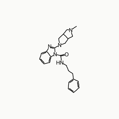 CN1CC2CN(c3nc4ccccc4n3C(=O)NCCCc3ccccc3)CC2C1